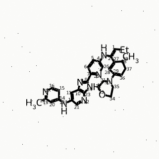 CC/C=C(/Nc1ccc(-c2nc3cc(Nc4ccnc(C)c4)cnc3[nH]2)nc1)C1=CC(N2CCOCC2)=CCC1C